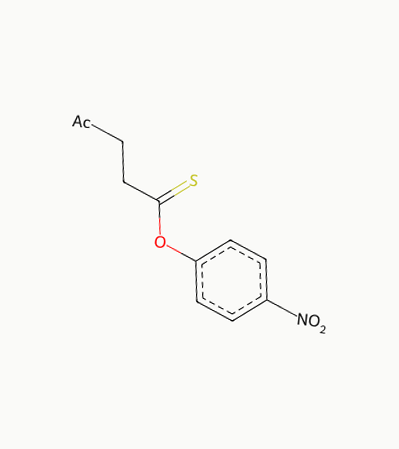 CC(=O)CCC(=S)Oc1ccc([N+](=O)[O-])cc1